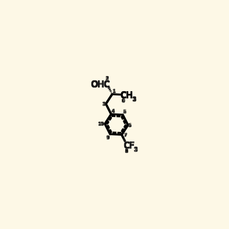 C[C@@H](C=O)Cc1ccc(C(F)(F)F)cc1